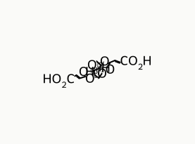 O=C(O)C=CC(=O)O[C@H]1CO[C@H]2[C@@H]1OC[C@@H]2OC(=O)C=CC(=O)O